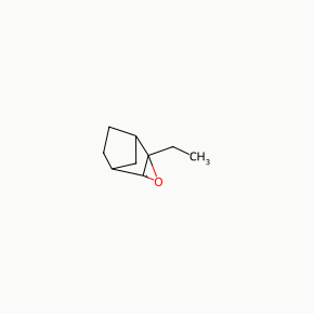 CCC12O[C]1C1CCC2C1